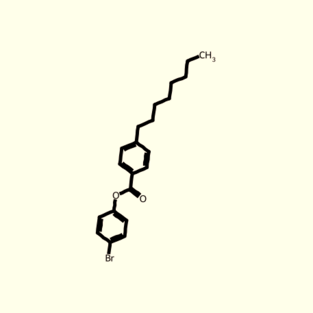 CCCCCCCCc1ccc(C(=O)Oc2ccc(Br)cc2)cc1